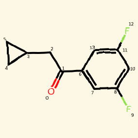 O=C(CC1CC1)c1cc(F)cc(F)c1